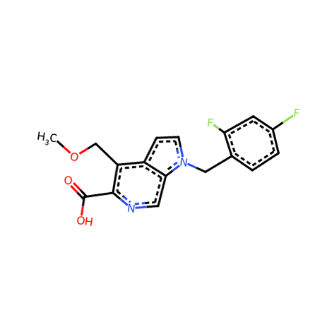 COCc1c(C(=O)O)ncc2c1ccn2Cc1ccc(F)cc1F